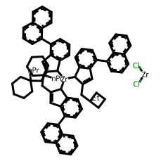 CCCC1(CC2=Cc3c(-c4cccc5ccccc45)cccc3[CH]2[Zr]([CH]2C(CC3(CC)CCC3)=Cc3c(-c4cccc5ccccc45)cccc32)[CH]2C(CC3(CCC)CCCCC3)=Cc3c(-c4cccc5ccccc45)cccc32)CCCCC1.[Cl][Zr][Cl]